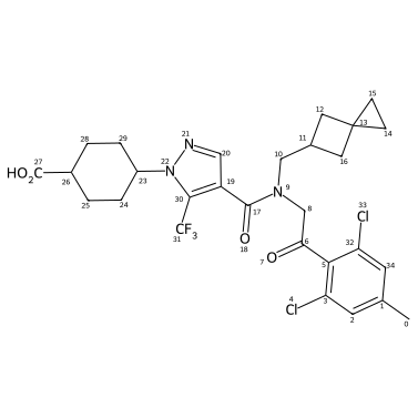 Cc1cc(Cl)c(C(=O)CN(CC2CC3(CC3)C2)C(=O)c2cnn(C3CCC(C(=O)O)CC3)c2C(F)(F)F)c(Cl)c1